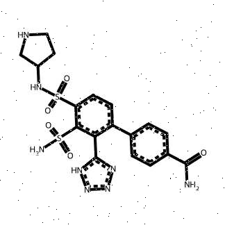 NC(=O)c1ccc(-c2ccc(S(=O)(=O)NC3CCNC3)c(S(N)(=O)=O)c2-c2nnn[nH]2)cc1